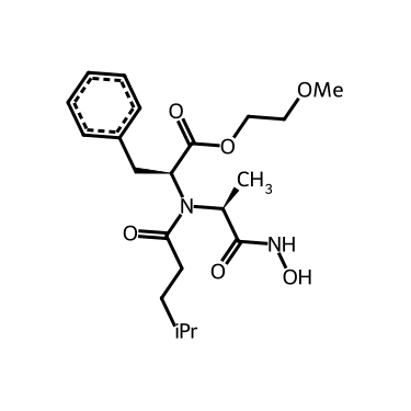 COCCOC(=O)[C@H](Cc1ccccc1)N(C(=O)CCC(C)C)[C@@H](C)C(=O)NO